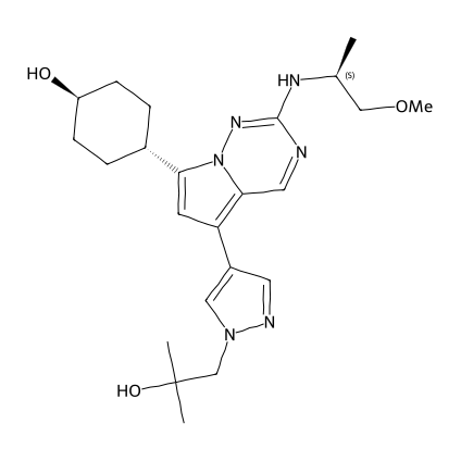 COC[C@H](C)Nc1ncc2c(-c3cnn(CC(C)(C)O)c3)cc([C@H]3CC[C@H](O)CC3)n2n1